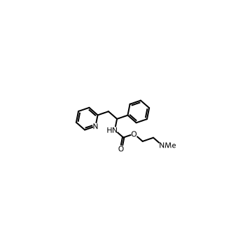 CNCCOC(=O)NC(Cc1ccccn1)c1ccccc1